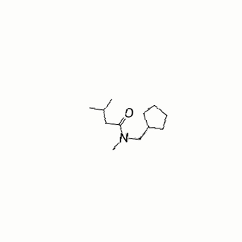 CC(C)CC(=O)N(C)CC1CCCC1